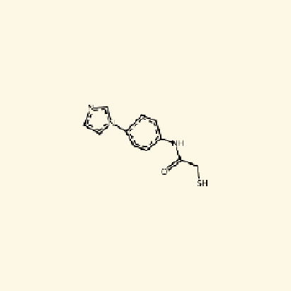 O=C(CS)Nc1ccc(-n2ccnc2)cc1